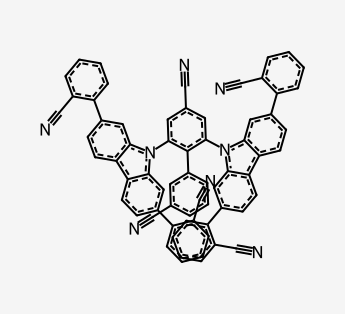 N#Cc1cccc(-c2c(-n3c4cc(-c5ccccc5C#N)ccc4c4ccc(-c5ccccc5C#N)cc43)cc(C#N)cc2-n2c3cc(-c4ccccc4C#N)ccc3c3ccc(-c4ccccc4C#N)cc32)c1